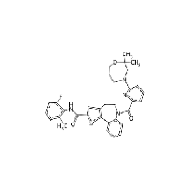 Cc1cccc(F)c1NC(=O)c1cc2c(s1)-c1ccccc1N(C(=O)c1cccc(N3CCCOC(C)(C)C3)n1)CC2